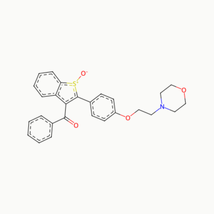 O=C(c1ccccc1)c1c(-c2ccc(OCCN3CCOCC3)cc2)[s+]([O-])c2ccccc12